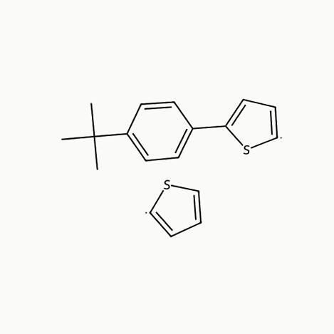 CC(C)(C)c1ccc(-c2cc[c]s2)cc1.[c]1cccs1